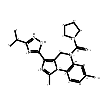 Cc1nc(-c2nc(C(C)C)no2)c2n1-c1ccc(F)cc1N(C(=O)N1CCCC1)C2